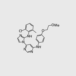 COCCOc1ccc(Nc2cc(-n3ccnc3Nc3c(C)cccc3Cl)ncn2)cc1